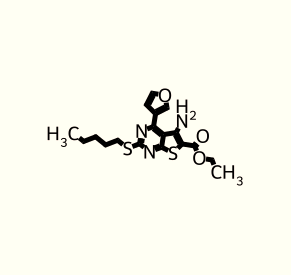 CCCCCSc1nc(-c2ccoc2)c2c(N)c(C(=O)OCC)sc2n1